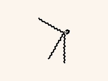 CCCCCCCCCCCCCCCCCC(CCCCCCCCCCCCCCCCC)(CCCCCCCCCCCCCCCCC)[n+]1ccccc1